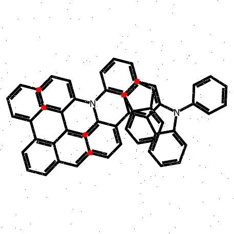 c1ccc(-c2cccc3cccc(-c4ccccc4N(c4ccccc4-c4cccc5c4c4ccccc4n5-c4ccccc4)c4cccc5sc6ccccc6c45)c23)cc1